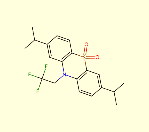 CC(C)c1ccc2c(c1)N(CC(F)(F)F)c1ccc(C(C)C)cc1S2(=O)=O